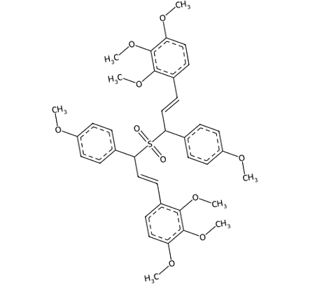 COc1ccc(C(C=Cc2ccc(OC)c(OC)c2OC)S(=O)(=O)C(C=Cc2ccc(OC)c(OC)c2OC)c2ccc(OC)cc2)cc1